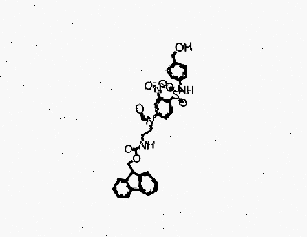 O=CN(CCNC(=O)OCC1c2ccccc2-c2ccccc21)c1ccc(S(=O)(=O)Nc2ccc(CO)cc2)c([N+](=O)[O-])c1